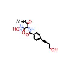 CNC(=O)C(NC(=O)c1ccc(C#CCCO)cc1)C(=O)NO